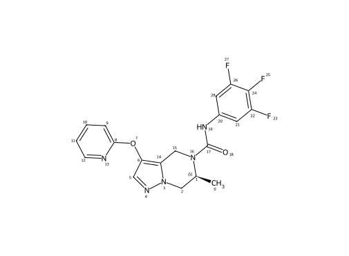 C[C@H]1Cn2ncc(Oc3ccccn3)c2CN1C(=O)Nc1cc(F)c(F)c(F)c1